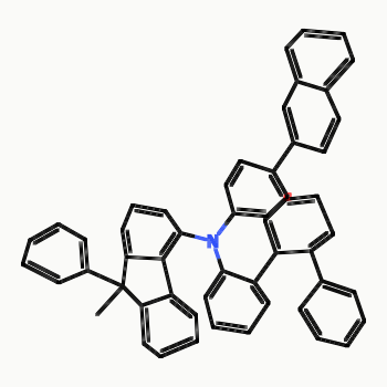 CC1(c2ccccc2)c2ccccc2-c2c(N(c3ccc(-c4ccc5ccccc5c4)cc3)c3ccccc3-c3ccccc3-c3ccccc3)cccc21